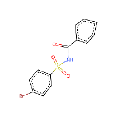 O=C(NS(=O)(=O)c1ccc(Br)cc1)c1[c]cccc1